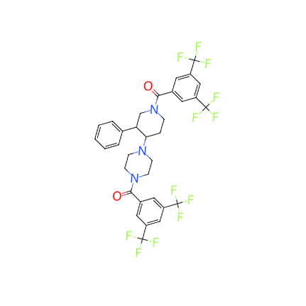 O=C(c1cc(C(F)(F)F)cc(C(F)(F)F)c1)N1CCN(C2CCN(C(=O)c3cc(C(F)(F)F)cc(C(F)(F)F)c3)CC2c2ccccc2)CC1